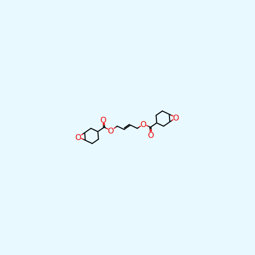 O=C(OCC=CCOC(=O)C1CCC2OC2C1)C1CCC2OC2C1